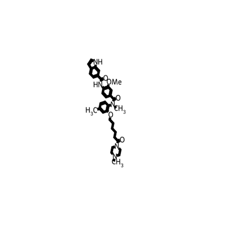 COc1cc(C(=O)N(C)c2ccc(C)cc2OCCCCCC(=O)N2CCN(C)CC2)ccc1NC(=O)c1ccc2cc[nH]c2c1